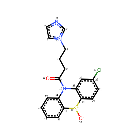 O=C(CCCn1ccnc1)N1c2ccccc2[S+]([O-])c2ccc(Cl)cc21